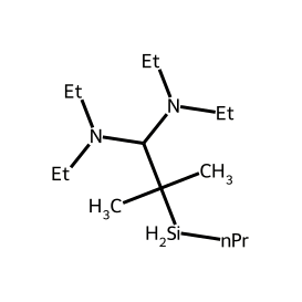 CCC[SiH2]C(C)(C)C(N(CC)CC)N(CC)CC